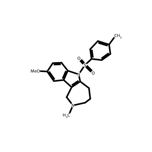 COc1ccc2c(c1)c1c(n2S(=O)(=O)c2ccc(C)cc2)CCCN(C)C1